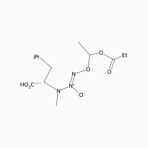 CCC(=O)OC(C)ON=[N+]([O-])N(C)[C@@H](CC(C)C)C(=O)O